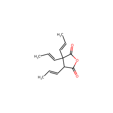 CC=CC1C(=O)OC(=O)C1(C=CC)C=CC